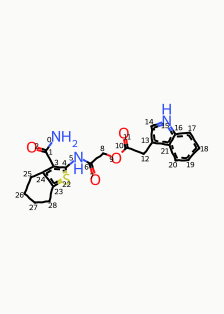 NC(=O)c1c(NC(=O)COC(=O)Cc2c[nH]c3ccccc23)sc2c1CCCC2